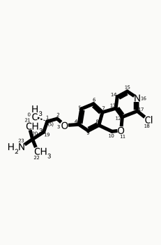 C[C@H](COc1ccc2c(c1)COc1c-2ccnc1Cl)CC(C)(C)N